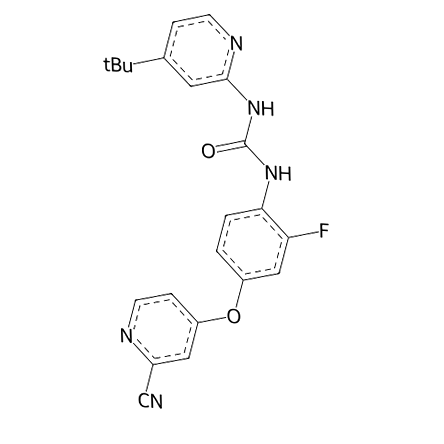 CC(C)(C)c1ccnc(NC(=O)Nc2ccc(Oc3ccnc(C#N)c3)cc2F)c1